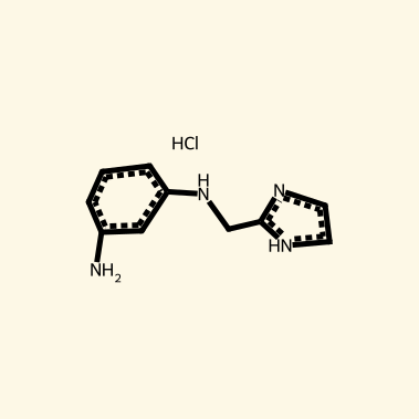 Cl.Nc1cccc(NCc2ncc[nH]2)c1